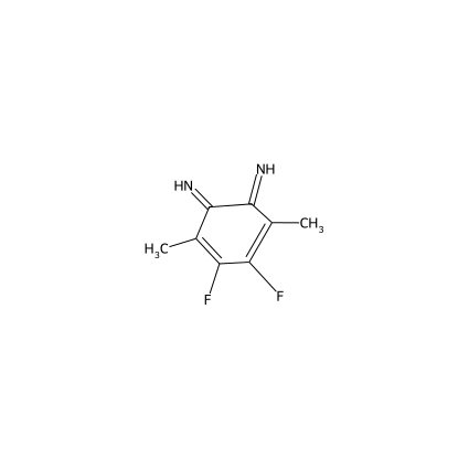 CC1=C(F)C(F)=C(C)C(=N)C1=N